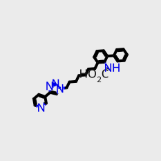 O=C(O)Nc1c(CCCCCCCn2cc(-c3cccnc3)nn2)cccc1-c1ccccc1